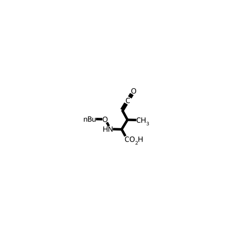 CCCCONC(C(=O)O)C(C)C=C=O